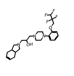 OC(CN1CCN(c2ccccc2OCC(F)(F)C(F)F)CC1)CN1CC2CC=CCC2C1